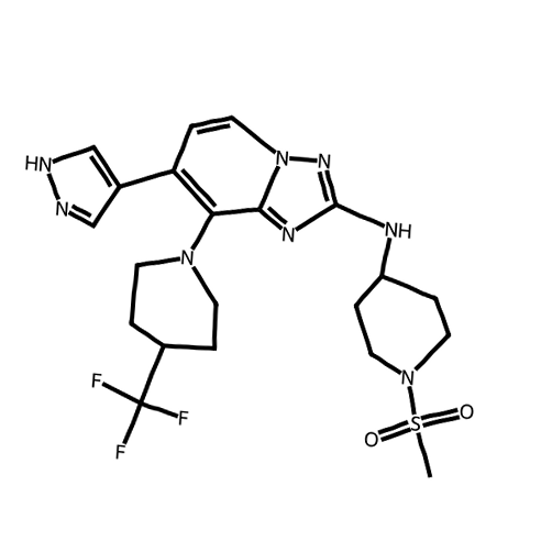 CS(=O)(=O)N1CCC(Nc2nc3c(N4CCC(C(F)(F)F)CC4)c(-c4cn[nH]c4)ccn3n2)CC1